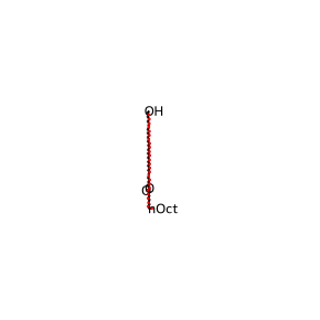 CCCCCCCC/C=C\CCCCCCCC(=O)OCCCCCCCCCCCCCCCCCCCCCCCCCCCCCCCCCCCCCO